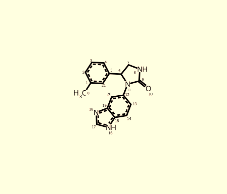 Cc1cccc(C2CNC(=O)N2c2ccc3[nH]cnc3c2)c1